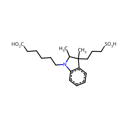 CC1N(CCCCCC(=O)O)c2ccccc2C1(C)CCCS(=O)(=O)O